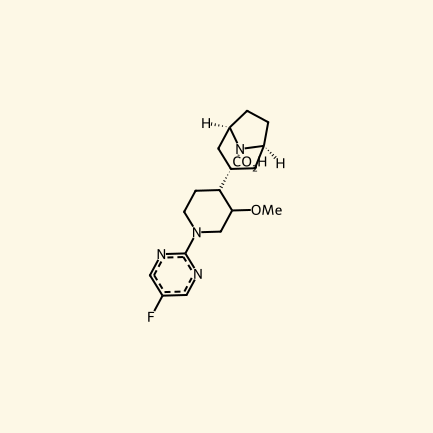 COC1CN(c2ncc(F)cn2)CCC1[C@@H]1C[C@H]2CC[C@@H](C1)N2C(=O)O